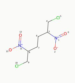 O=[N+]([O-])C(CCl)CCC(CCl)[N+](=O)[O-]